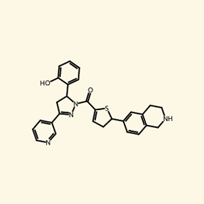 O=C(C1=CCC(c2ccc3c(c2)CCNC3)S1)N1N=C(c2cccnc2)CC1c1ccccc1O